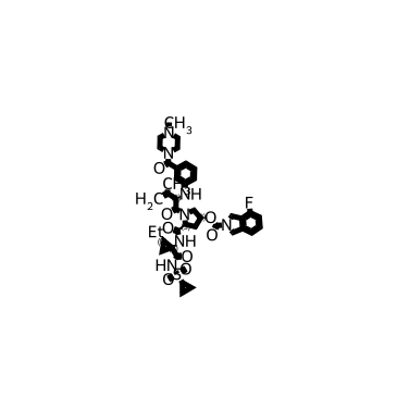 C=C(C)[C@H](Nc1cccc(C(=O)N2CCN(C)CC2)c1)C(=O)N1C[C@H](OC(=O)N2Cc3cccc(F)c3C2)C[C@H]1C(=O)N[C@]1(C(=O)NS(=O)(=O)C2CC2)C[C@H]1CC